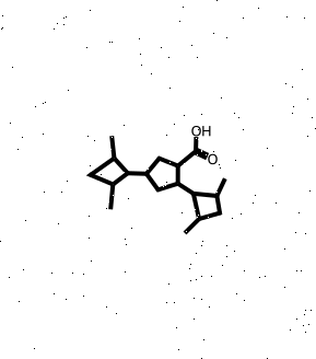 CC1CC(C)C1C1CC(C(=O)O)C(C2C(C)CC2C)C1